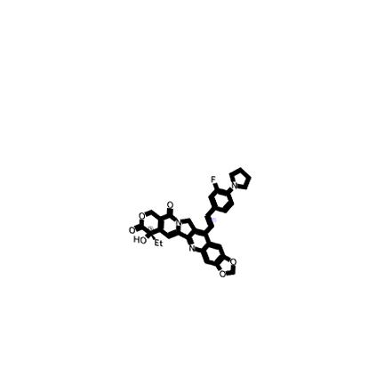 CC[C@@]1(O)C(=O)OCc2c1cc1n(c2=O)Cc2c-1nc1cc3c(cc1c2/C=C/c1ccc(N2CCCC2)c(F)c1)OCO3